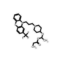 CCC(=O)OC(C)OC1CCN(CCCN2c3ccccc3Sc3ccc(C(F)(F)F)cc32)CC1